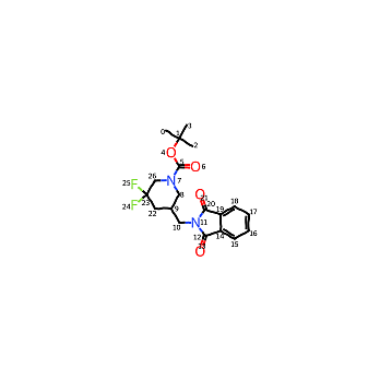 CC(C)(C)OC(=O)N1CC(CN2C(=O)c3ccccc3C2=O)CC(F)(F)C1